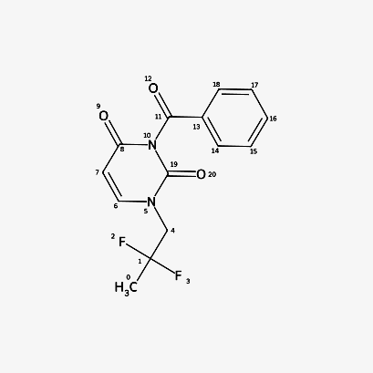 CC(F)(F)Cn1ccc(=O)n(C(=O)c2ccccc2)c1=O